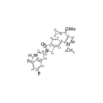 COC(c1cnn(C)c1-c1ccc2c(c1)CN([C@H](CN)Cc1cc(F)cc(F)c1)C2=O)C1CC1